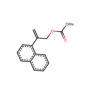 C=C(COC(=O)OC)c1cccc2ccccc12